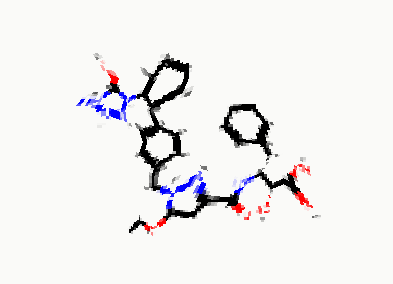 CCOc1cc(C(=O)N[C@H](Cc2ccccc2)[C@@H](O)C(=O)O)nn1Cc1ccc(-c2ccccc2-n2nn[nH]c2=O)cc1